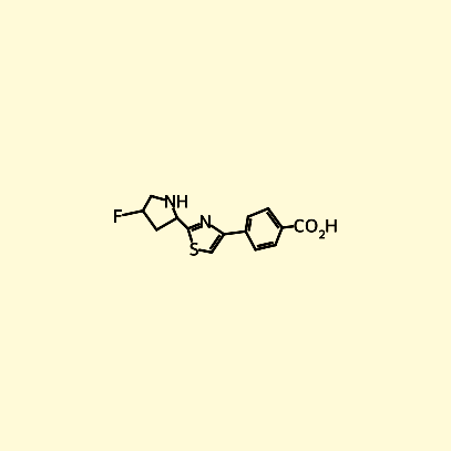 O=C(O)c1ccc(-c2csc(C3CC(F)CN3)n2)cc1